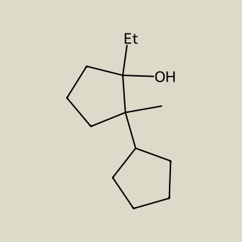 CCC1(O)CCCC1(C)C1CCCC1